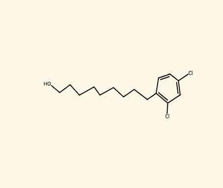 OCCCCCCCCCc1ccc(Cl)cc1Cl